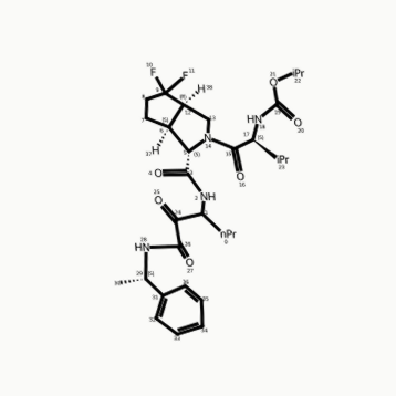 CCCC(NC(=O)[C@@H]1[C@H]2CCC(F)(F)[C@H]2CN1C(=O)[C@@H](NC(=O)OC(C)C)C(C)C)C(=O)C(=O)N[C@@H](C)c1ccccc1